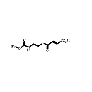 CCOC(=O)/C=C/C(=O)OCCNC(=O)OC(C)(C)C